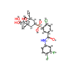 O=C(Nc1ccc(F)c(F)c1)c1ccc(Cl)c(S(=O)(=O)[C@@H]2C[C@H]3C[C@@H](O)[C@@H](C2)[C@@]3(O)CO)c1